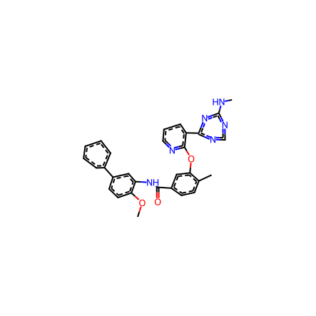 CNc1ncnc(-c2cccnc2Oc2cc(C(=O)Nc3cc(-c4ccccc4)ccc3OC)ccc2C)n1